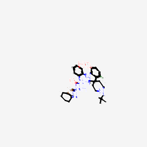 CC(C)(C)CN1CCC2(CC1)CN(c1ccccc1NC(=O)Nc1nc3c(s1)CCCC3)c1c(O)ccc(Cl)c12